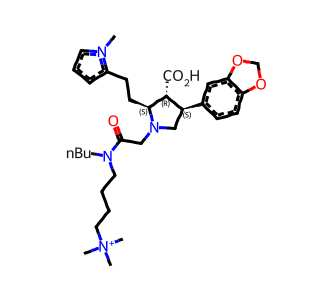 CCCCN(CCCC[N+](C)(C)C)C(=O)CN1C[C@H](c2ccc3c(c2)OCO3)[C@@H](C(=O)O)[C@@H]1CCc1cccn1C